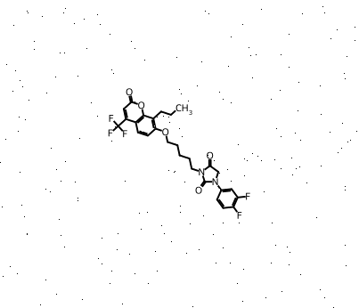 CCCc1c(OCCCCCN2C(=O)CN(c3ccc(F)c(F)c3)C2=O)ccc2c(C(F)(F)F)cc(=O)oc12